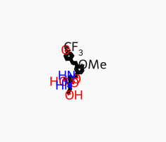 COc1ccc(C(=O)N[C@@H](CO)C(=O)NCCO)cc1C=Cc1ccc(OC(F)(F)F)cc1